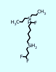 CCC[SiH](CCC)C(F)CCCCC[SiH2]CCC(F)F